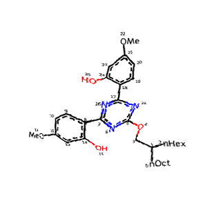 CCCCCCCCC(CCCCCC)COc1nc(-c2ccc(OC)cc2O)nc(-c2ccc(OC)cc2O)n1